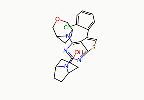 OC1CC2CCC(C1)N2c1nc(N2C3CCC2COC3)c2c(-c3ccccc3Cl)csc2n1